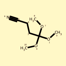 COC(CCC#N)(OC)OC